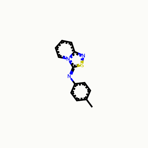 Cc1ccc(N=c2snc3ccccn23)cc1